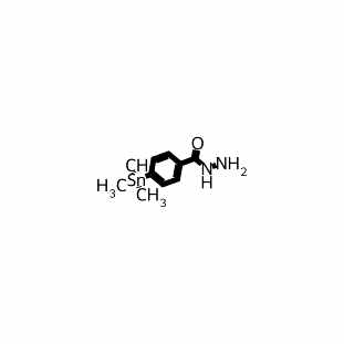 [CH3][Sn]([CH3])([CH3])[c]1ccc(C(=O)NN)cc1